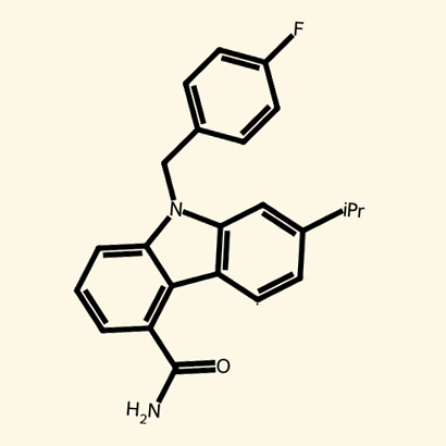 CC(C)c1c[c]c2c3c(C(N)=O)cccc3n(Cc3ccc(F)cc3)c2c1